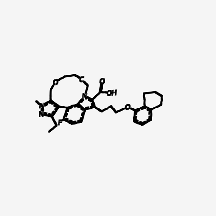 CCc1nn(C)c2c1-c1c(F)ccc3c(CCCOc4cccc5c4CCCC5)c(C(=O)O)n(c13)CCCCOC2